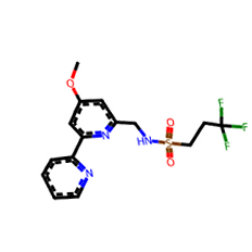 COc1cc(CNS(=O)(=O)CCC(F)(F)F)nc(-c2ccccn2)c1